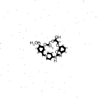 CCOc1cc(CN2CCC(Nc3nc4cccc(OCC(=O)O)c4o3)CC2)ccc1OC